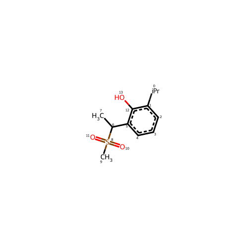 CC(C)c1cccc(C(C)S(C)(=O)=O)c1O